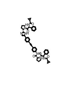 O=C(N[C@@H](C(=O)N1CCC[C@H]1C(=O)Nc1ccc(C#Cc2ccc(-c3cnc([C@@H]4CCCN4C(=O)[C@H](NC(=O)C4CC4)c4ccccc4)[nH]3)cc2)cc1)c1ccccc1)C1CC1